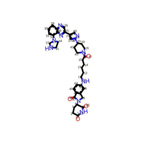 O=C1CCC(N2Cc3cc(NCCCCCC(=O)N4CCC(n5cc(-c6cnc7cccc(N8CCNC8)c7n6)cn5)CC4)ccc3C2=O)C(=O)N1